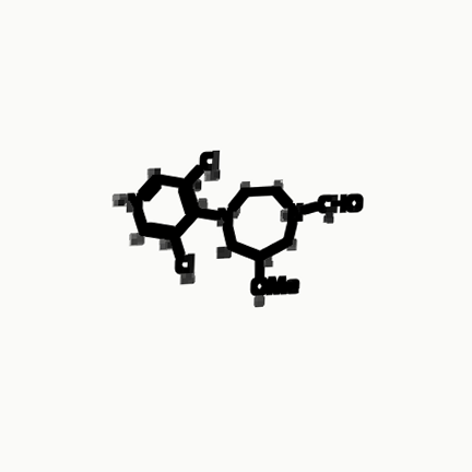 COC1CN(C=O)CCN(c2c(Cl)cncc2Cl)C1